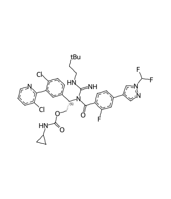 CC(C)(C)CCNC(=N)N(C(=O)c1ccc(-c2cnn(C(F)F)c2)cc1F)[C@H](COC(=O)NC1CC1)c1ccc(Cl)c(-c2ncccc2Cl)c1